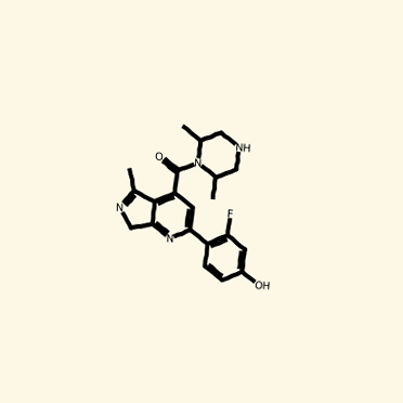 CC1=NCc2nc(-c3ccc(O)cc3F)cc(C(=O)N3C(C)CNCC3C)c21